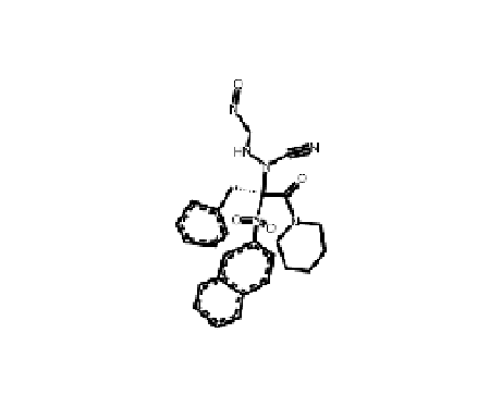 N#CN(NCN=O)[C@@](Cc1ccccc1)(C(=O)N1CCCCC1)S(=O)(=O)c1ccc2ccccc2c1